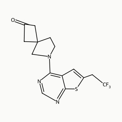 O=C1CC2(CCN(c3ncnc4sc(CC(F)(F)F)cc34)C2)C1